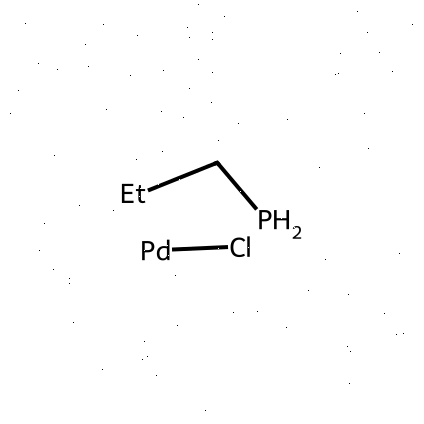 CCCP.[Cl][Pd]